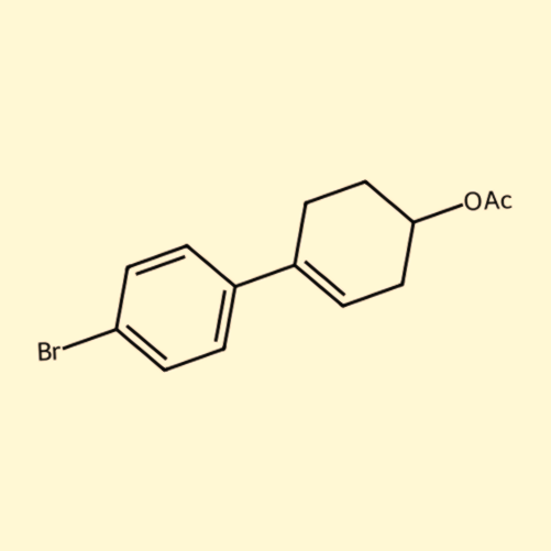 CC(=O)OC1CC=C(c2ccc(Br)cc2)CC1